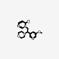 COc1cncc(C(CN2[C]=NC=CC2Cl)N2CCOCC2)c1